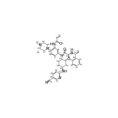 C=CC(=O)Nc1cc(N(C(=O)C(=O)N[C@@H](C)c2ccccc2)C2CCC(Nc3ccc(C#N)cn3)CC2)ccc1N1CCN(C)[C@@H](C)C1